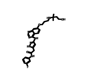 CC(C)(CCO)NCCCOc1ccc2c(Nc3cc(CC(=O)Nc4cccc(F)c4)[nH]n3)ncnc2c1